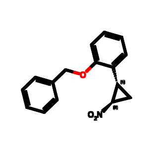 O=[N+]([O-])[C@@H]1C[C@H]1c1ccccc1OCc1ccccc1